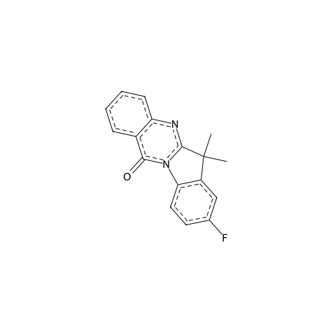 CC1(C)c2cc(F)ccc2-n2c1nc1ccccc1c2=O